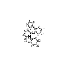 O=c1ccc(-c2nccn2-c2ccccc2)cn1-c1ccccc1